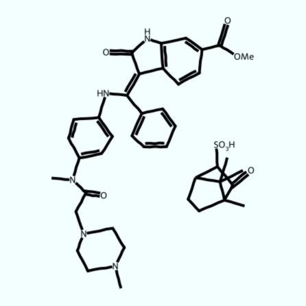 CC12CCC(C(S(=O)(=O)O)C1=O)C2(C)C.COC(=O)c1ccc2c(c1)NC(=O)/C2=C(\Nc1ccc(N(C)C(=O)CN2CCN(C)CC2)cc1)c1ccccc1